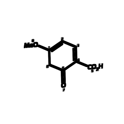 COC1=CC=C(C(=O)O)C(=O)C1